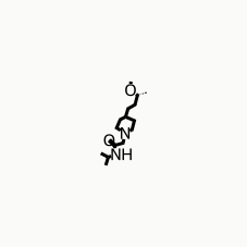 CO[C@H](C)CCC1CCN(CC(=O)NC(C)C)CC1